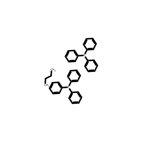 CCCC.c1ccc(P(c2ccccc2)c2ccccc2)cc1.c1ccc(P(c2ccccc2)c2ccccc2)cc1